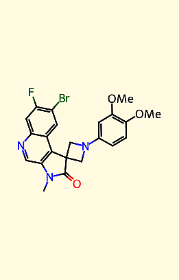 COc1ccc(N2CC3(C2)C(=O)N(C)c2cnc4cc(F)c(Br)cc4c23)cc1OC